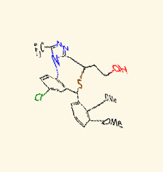 COc1cccc(C2SC(CCO)c3nnc(C(F)(F)F)n3-c3ccc(Cl)cc32)c1OC